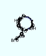 COC1C(=O)[C@H](C)CC(C)/C=C/C=C/C=C(\C)[C@@H](OC)C[C@@H]2CC[C@@H](C)[C@@](O)(O2)C(=O)C(=O)N2CCCCC2C(=O)O[C@H]([C@@H](C)C[C@@H]2CC[C@@H](OCCOC(=O)CBr)[C@H](OC)C2)CC(=O)C(C)/C=C(\C)[C@H]1O